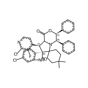 CC1(C)CCC2(CC1)N1C(C(=O)O[C@@H](c3ccccc3)[C@H]1c1ccccc1)[C@H](c1ccnc(Cl)c1F)[C@]21C(=O)Nc2cc(Cl)ccc21